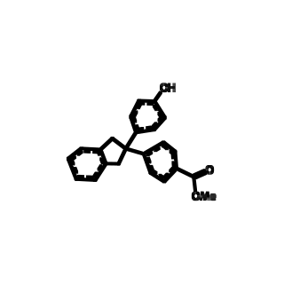 COC(=O)c1ccc(C2(c3ccc(O)cc3)Cc3ccccc3C2)cc1